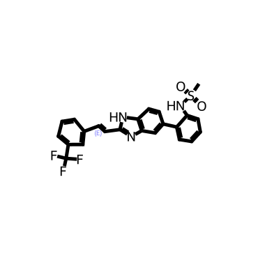 CS(=O)(=O)Nc1ccccc1-c1ccc2[nH]c(/C=C/c3cccc(C(F)(F)F)c3)nc2c1